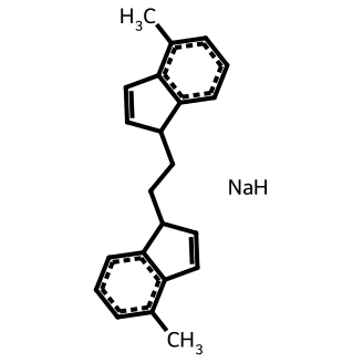 Cc1cccc2c1C=CC2CCC1C=Cc2c(C)cccc21.[NaH]